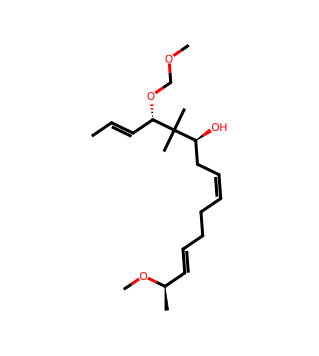 C/C=C/[C@H](OCOC)C(C)(C)[C@@H](O)C/C=C\CC/C=C/[C@@H](C)OC